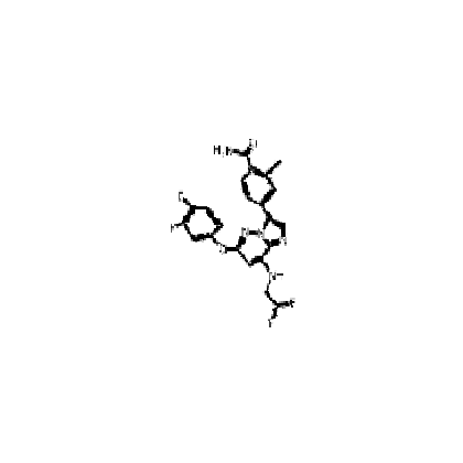 Cc1cc(-c2cnc3c(NCC(F)F)cc(Oc4ccc(F)c(F)c4)nn23)ccc1C(N)=O